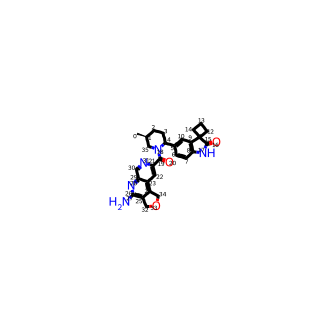 C[C@H]1CCC(c2ccc3c(c2)C2(CCC2)C(=O)N3)N(C(=O)c2cc3c4c(c(N)nc3cn2)COC4)C1